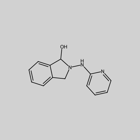 OC1c2ccccc2CN1Nc1ccccn1